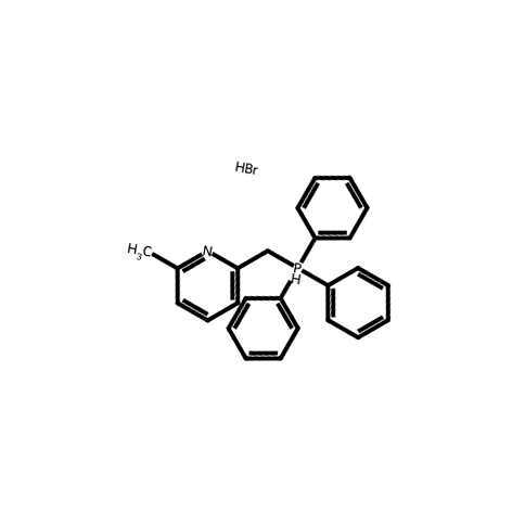 Br.Cc1cccc(C[PH](c2ccccc2)(c2ccccc2)c2ccccc2)n1